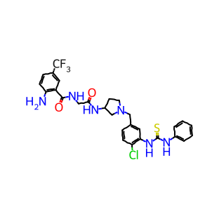 Nc1ccc(C(F)(F)F)cc1C(=O)NCC(=O)NC1CCN(Cc2ccc(Cl)c(NC(=S)Nc3ccccc3)c2)C1